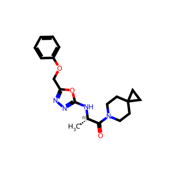 C[C@H](Nc1nnc(COc2ccccc2)o1)C(=O)N1CCC2(CC1)CC2